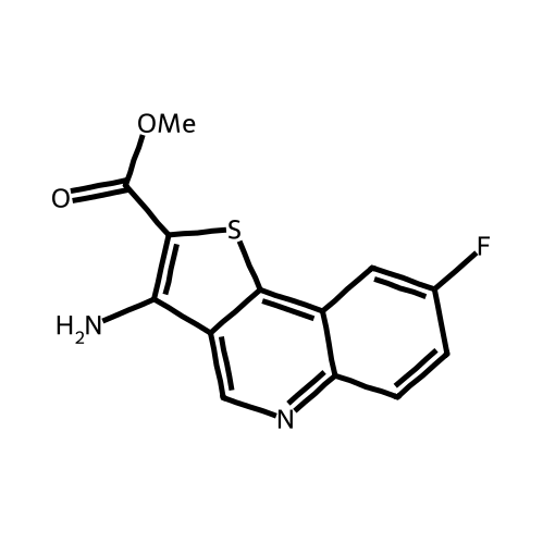 COC(=O)c1sc2c(cnc3ccc(F)cc32)c1N